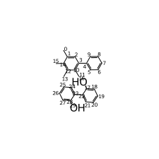 Cc1cc(-c2ccccc2)c(C)c(C)c1C.Oc1ccccc1-c1ccccc1O